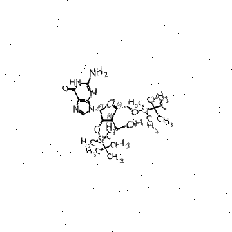 CC(C)(C)[Si](C)(C)OC[C@H]1O[C@@H](n2cnc3c(=O)[nH]c(N)nc32)C(O[Si](C)(C)C(C)(C)C)[C@@H]1CO